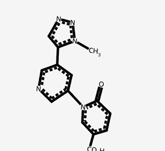 Cn1nncc1-c1cncc(-n2cc(C(=O)O)ccc2=O)c1